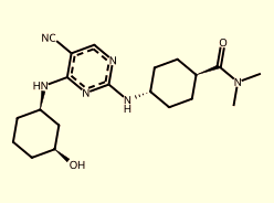 CN(C)C(=O)[C@H]1CC[C@H](Nc2ncc(C#N)c(N[C@@H]3CCC[C@H](O)C3)n2)CC1